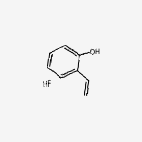 C=Cc1ccccc1O.F